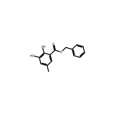 Cc1cc(O)c(O)c(C(=O)OCc2ccccc2)c1